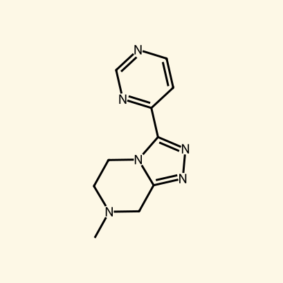 CN1CCn2c(nnc2-c2ccncn2)C1